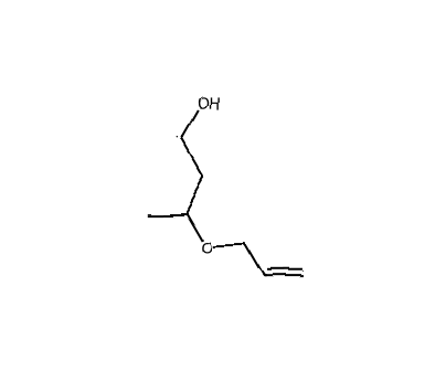 C=CCOC(C)C[CH]O